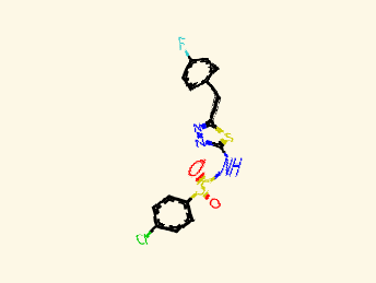 O=S(=O)(Nc1nnc(Cc2ccc(F)cc2)s1)c1ccc(Cl)cc1